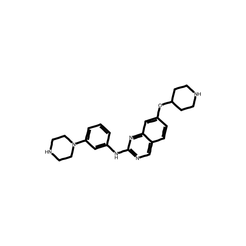 c1cc(Nc2ncc3ccc(OC4CCNCC4)cc3n2)cc(N2CCNCC2)c1